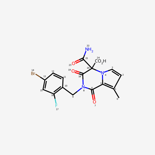 Cc1ccn2c1C(=O)N(Cc1ccc(Br)cc1F)C(=O)C2(C(N)=O)C(=O)O